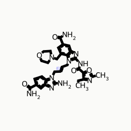 CCc1nc(C)oc1C(=O)Nc1nc2cc(C(N)=O)cc(CN3CCOCC3)c2n1C/C=C/Cn1c(N)nc2cc(C(N)=O)ccc21